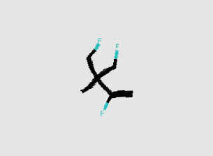 C=C(F)C(C)(CF)CF